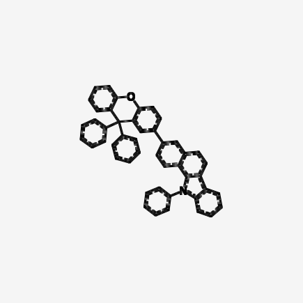 c1ccc(-n2c3ccccc3c3ccc4cc(-c5ccc6c(c5)C(c5ccccc5)(c5ccccc5)c5ccccc5O6)ccc4c32)cc1